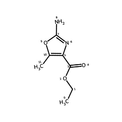 CCOC(=O)c1nc(N)oc1C